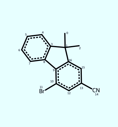 CC1(C)c2ccccc2-c2c(Br)cc(C#N)cc21